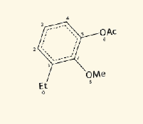 CCc1cccc(OC(C)=O)c1OC